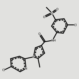 Cc1cc(C(=O)Nc2cc(Cl)cc(S(C)(=O)=O)c2)cn1-c1ccc(Cl)cn1